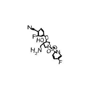 N#Cc1ccc(OC2CN(S(=O)(=O)c3ccc(F)cn3)C[C@@]2(O)CN)cc1F